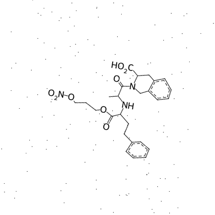 CC(NC(CCc1ccccc1)C(=O)OCCCO[N+](=O)[O-])C(=O)N1Cc2ccccc2CC1C(=O)O